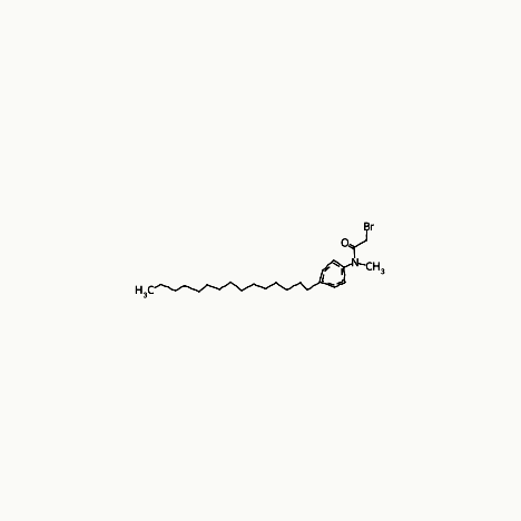 CCCCCCCCCCCCCCCc1ccc(N(C)C(=O)CBr)cc1